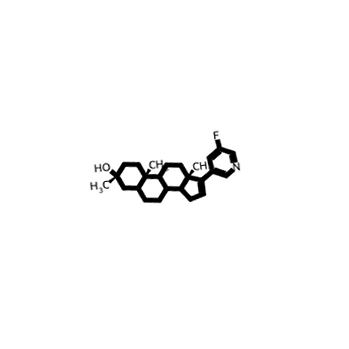 C[C@@]1(O)CC[C@@]2(C)C(CCC3C2CC[C@]2(C)C(c4cncc(F)c4)=CCC32)C1